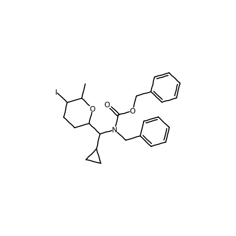 CC1OC(C(C2CC2)N(Cc2ccccc2)C(=O)OCc2ccccc2)CCC1I